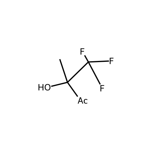 CC(=O)C(C)(O)C(F)(F)F